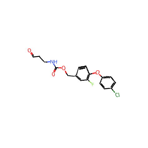 O=CCCNC(=O)OCc1ccc(Oc2ccc(Cl)cc2)c(F)c1